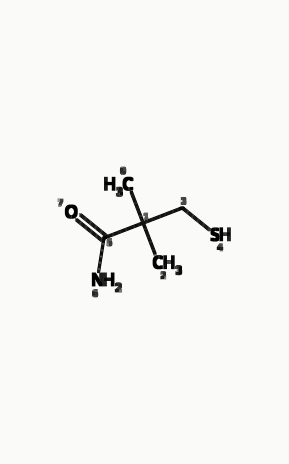 CC(C)(CS)C(N)=O